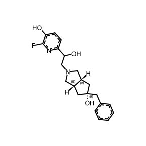 Oc1ccc(C(O)CN2C[C@@H]3C[C@@](O)(Cc4ccccc4)C[C@@H]3C2)nc1F